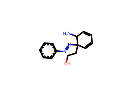 NC1C=CC=CC1(CCO)N=Nc1ccccc1